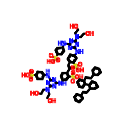 C(=C\c1ccccc1-c1ccccc1/C=C/c1ccccc1)/c1ccccc1.O=S(=O)(O)c1ccc(Nc2nc(Nc3ccc(/C=C/c4ccc(Nc5nc(Nc6ccc(S(=O)(=O)O)cc6)nc(N(CCO)CCO)n5)cc4S(=O)(=O)O)c(S(=O)(=O)O)c3)nc(N(CCO)CCO)n2)cc1